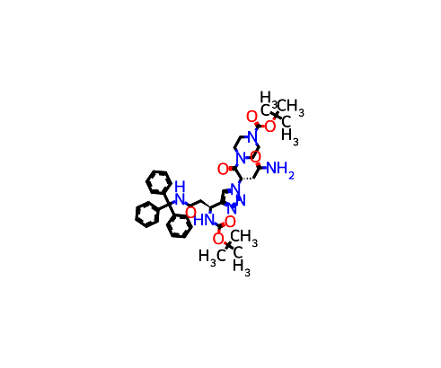 CC(C)(C)OC(=O)N[C@@H](CC(=O)NC(c1ccccc1)(c1ccccc1)c1ccccc1)c1cn([C@@H](CC(N)=O)C(=O)N2CCN(C(=O)OC(C)(C)C)CC2)nn1